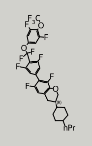 CCCC1CCC([C@@H]2COc3c(cc(F)c(-c4cc(F)c(C(F)(F)Oc5cc(F)c(OC(F)(F)F)c(F)c5)c(F)c4)c3F)C2)CC1